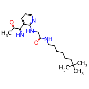 CC(=O)C(=N)c1cccnc1NCC(=O)NCCCCCCC(C)(C)C